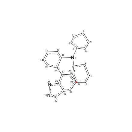 c1ccc(N(c2ccccc2)c2ccccc2-c2cccc3snnc23)cc1